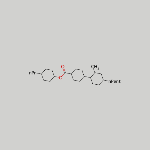 CCCCCC1CCC(C2CCC(C(=O)OC3CCC(CCC)CC3)CC2)C(C)C1